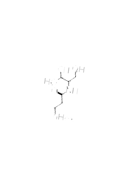 CCCCCCCCC(=O)NC(CO)C(C)O